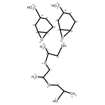 CC(O)COC(C)COC(C)CO.O=C(O)C1CCC2OC2C1.O=C(O)C1CCC2OC2C1